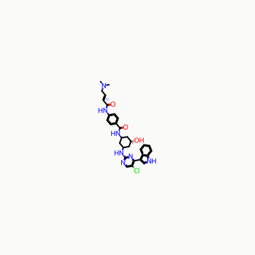 CN(C)C/C=C/C(=O)Nc1ccc(C(=O)NC2CC(Nc3ncc(Cl)c(-c4c[nH]c5ccccc45)n3)C[C@@H](O)C2)cc1